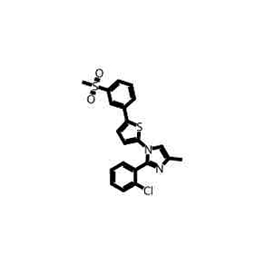 Cc1cn(-c2ccc(-c3cccc(S(C)(=O)=O)c3)s2)c(-c2ccccc2Cl)n1